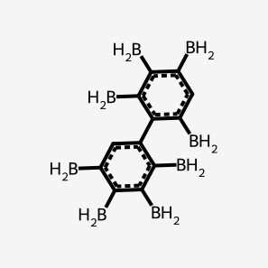 Bc1cc(-c2c(B)cc(B)c(B)c2B)c(B)c(B)c1B